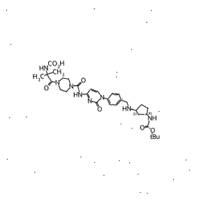 CC(C)(C)OC(=O)N[C@@H]1CC[C@H](NCc2ccc(-n3ccc(NC(=O)N4CCN(C(=O)C(C)(C)NC(=O)O)CC4)nc3=O)cc2)C1